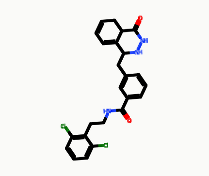 O=C(NCCc1c(Cl)cccc1Cl)c1cccc(CC2NNC(=O)C3CC=CC=C23)c1